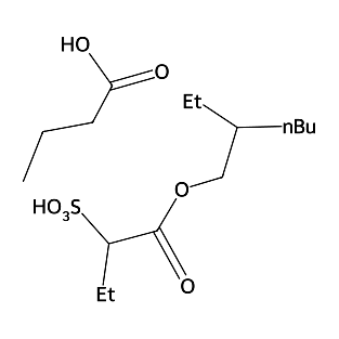 CCCC(=O)O.CCCCC(CC)COC(=O)C(CC)S(=O)(=O)O